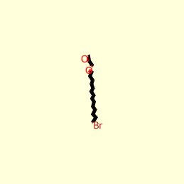 BrCCCCCCCCCCCCCCOCC1CO1